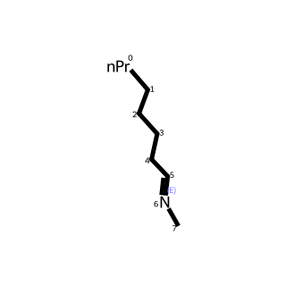 CCCCCCC/C=N/C